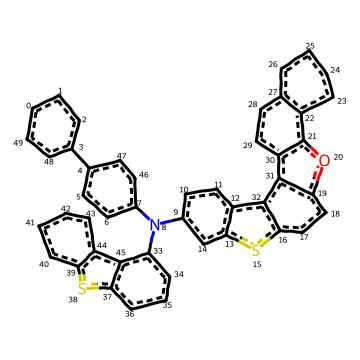 c1ccc(-c2ccc(N(c3ccc4c(c3)sc3ccc5oc6c7ccccc7ccc6c5c34)c3cccc4sc5ccccc5c34)cc2)cc1